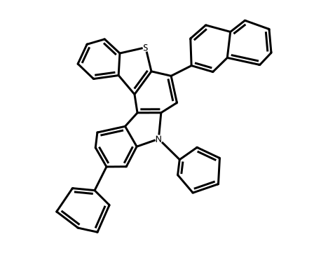 c1ccc(-c2ccc3c4c5c(sc6ccccc65)c(-c5ccc6ccccc6c5)cc4n(-c4ccccc4)c3c2)cc1